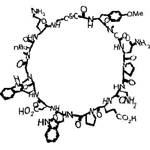 CCCC[C@H]1C(=O)N[C@@H](CCCN)C(=O)NCCSCC(=O)N[C@@H](Cc2ccc(OC)cc2)C(=O)N(C)CC(=O)N[C@@H](CC(N)=O)C(=O)N2CCCC2C(=O)N[C@@H](CN)C(=O)N[C@@H](CCC(=O)O)C(=O)N2CCCC2C(=O)N[C@@H](Cc2c[nH]c3ccccc23)C(=O)N[C@@H](CC(=O)O)C(=O)N[C@@H](Cc2c[nH]c3ccccc23)C(=O)N(C)CC(=O)N1C